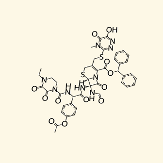 CCN1CCN(C(=O)NC(C(=O)N[C@]2(NC=O)C(=O)N3C(C(=O)OC(c4ccccc4)c4ccccc4)=C(CSc4nnc(O)c(=O)n4C)CS[C@H]32)c2ccc(OC(C)=O)cc2)C(=O)C1=O